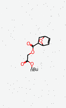 CCCCOC(=O)COC(=O)C1CC2C=CC1O2